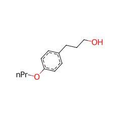 CCCOc1ccc(CCCO)cc1